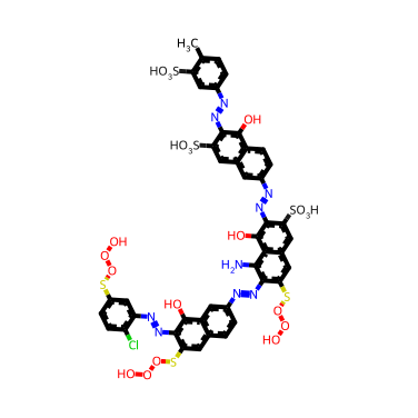 Cc1ccc(N=Nc2c(S(=O)(=O)O)cc3cc(N=Nc4c(S(=O)(=O)O)cc5cc(SOOO)c(N=Nc6ccc7cc(SOOO)c(N=Nc8cc(SOOO)ccc8Cl)c(O)c7c6)c(N)c5c4O)ccc3c2O)cc1S(=O)(=O)O